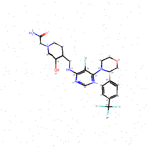 NC(=O)CN1CCC(CNc2ncnc(N3CCOC[C@@H]3c3ccc(C(F)(F)F)cc3)c2F)C(O)C1